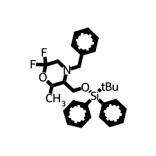 CC1OC(F)(F)CN(Cc2ccccc2)C1CO[Si](c1ccccc1)(c1ccccc1)C(C)(C)C